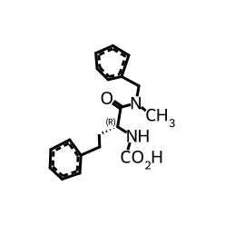 CN(Cc1ccccc1)C(=O)[C@@H](CCc1ccccc1)NC(=O)O